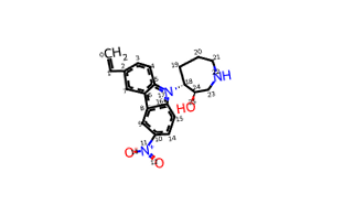 C=Cc1ccc2c(c1)c1cc([N+](=O)[O-])ccc1n2[C@@H]1CCCNC[C@H]1O